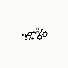 CCCC(NC(=O)Cc1ccc(C(=O)O)c(O)c1)c1ccccc1N1CCCCC1